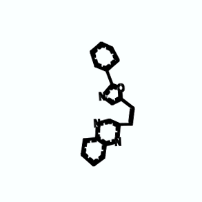 C(=C/c1cnc(-c2ccccc2)o1)/c1cnc2ccccc2n1